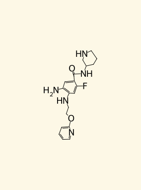 Nc1cc(C(=O)NC2CCCNC2)c(F)cc1NCCOc1ccccn1